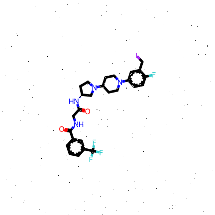 O=C(CNC(=O)c1cccc(C(F)(F)F)c1)N[C@@H]1CCN(C2CCN(c3ccc(F)c(CI)c3)CC2)C1